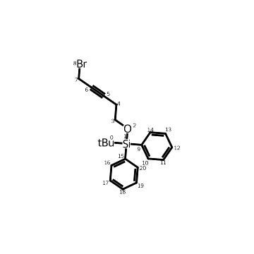 CC(C)(C)[Si](OCCC#CCBr)(c1ccccc1)c1ccccc1